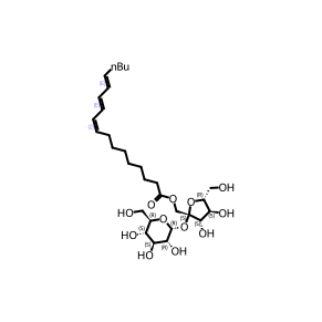 CCCC/C=C/C=C/C=C\CCCCCCCC(=O)OC[C@@]1(O[C@H]2O[C@H](CO)[C@@H](O)[C@H](O)[C@H]2O)O[C@H](CO)[C@@H](O)[C@@H]1O